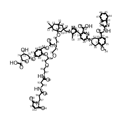 COCCN(CCOC12CC(C)(C)CC(C)(CC(C)(Cn3ncc(-c4ccc(N5CCc6c(OC)ccc(C(=O)Nc7nc8ccccc8s7)c6C5)nc4C(=O)O)c3C)C1)C2)C(=O)OCc1ccc(O[C@H]2C[C@@H](O)C[C@@H](C(=O)O)O2)cc1OCCOCCNC(=O)CCNC(=O)CCN1C(=O)C=CC1=O